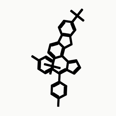 Cc1ccc(C(=C2C=CC=C2c2c(C(C)(C)C)ccc3c2Cc2cc(C(C)(C)C)ccc2-3)c2ccc(C)cc2)cc1